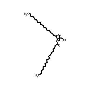 CCCCCCCCCCCCCCCCCC(=O)OCC1(CO)COC(CCCCCCCCCCCCCCCCC)=N1